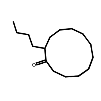 CCCCC1CCCCCCCCCCC1=O